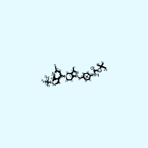 [2H]C([2H])([2H])n1ncc2c(N3CCc4c(c(C)nn4CC45CCC(NC(=O)OC(C)(C)C)(CC4)CC5)C3)cc(C)nc21